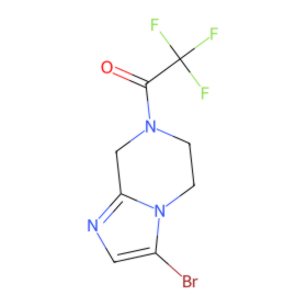 O=C(N1CCn2c(Br)cnc2C1)C(F)(F)F